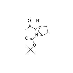 CC(=O)C1[C@H]2CCC(C2)N1C(=O)OC(C)(C)C